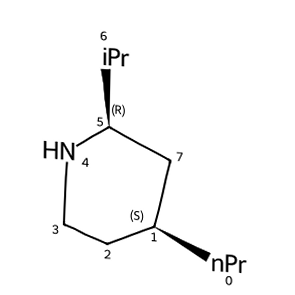 CCC[C@H]1CCN[C@@H](C(C)C)C1